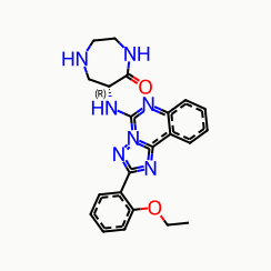 CCOc1ccccc1-c1nc2c3ccccc3nc(N[C@@H]3CNCCNC3=O)n2n1